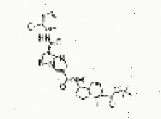 Cc1c(C(=O)OC(C)(C)C)ccc2c1CCC2NC(=O)c1cnc2c(C(=O)Nc3ccccc3Cl)cnn2c1